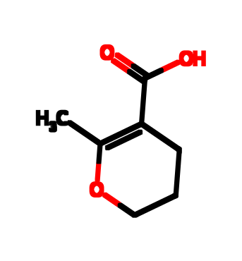 CC1=C(C(=O)O)CCCO1